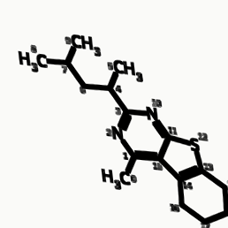 Cc1nc(C(C)CC(C)C)nc2sc3c(c12)CCCC3